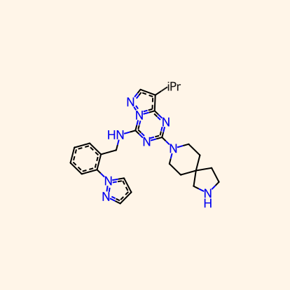 CC(C)c1cnn2c(NCc3ccccc3-n3cccn3)nc(N3CCC4(CCNC4)CC3)nc12